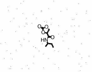 CCC(C)NC(=O)C1COC(=O)O1